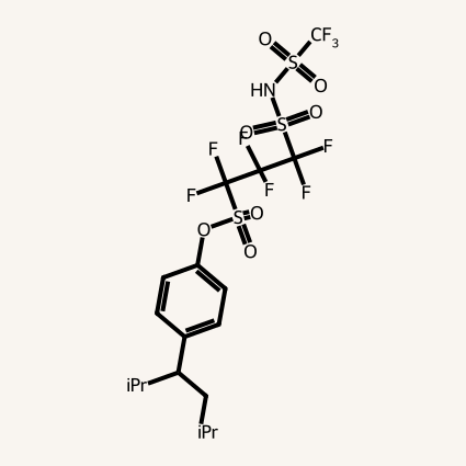 CC(C)CC(c1ccc(OS(=O)(=O)C(F)(F)C(F)(F)C(F)(F)S(=O)(=O)NS(=O)(=O)C(F)(F)F)cc1)C(C)C